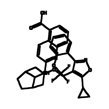 O=C(O)c1cccc2nc(NC3C4CCC3CC(OCc3c(-c5ccccc5OC(F)(F)F)noc3C3CC3)C4)ccc12